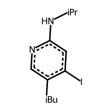 CCC(C)c1cnc(NC(C)C)cc1I